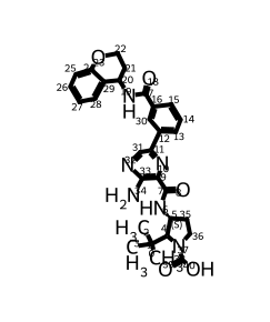 CC(C)(C)C1[C@@H](NC(=O)c2nc(-c3cccc(C(=O)NC4CCOc5ccccc54)c3)cnc2N)CCN1C(=O)O